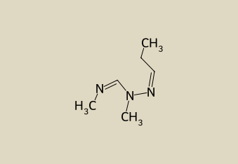 CC/C=N\N(C)/C=N\C